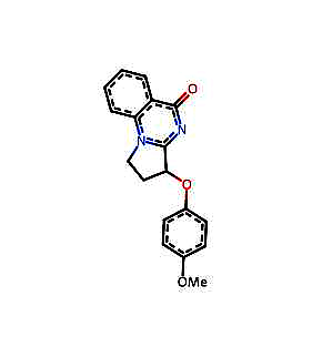 COc1ccc(OC2CCn3c2nc(=O)c2ccccc23)cc1